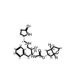 O=C1CC[C@@H](CNC[C@@H](O)[C@H](Cc2ccccc2)NC(=O)O[C@@H]2C[C@@H]3CCO[C@@H]3C2)N1